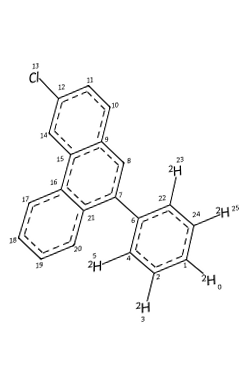 [2H]c1c([2H])c([2H])c(-c2cc3ccc(Cl)cc3c3ccccc23)c([2H])c1[2H]